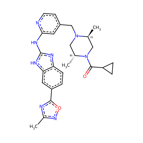 Cc1noc(-c2ccc3nc(Nc4cc(CN5C[C@@H](C)N(C(=O)C6CC6)C[C@@H]5C)ccn4)[nH]c3c2)n1